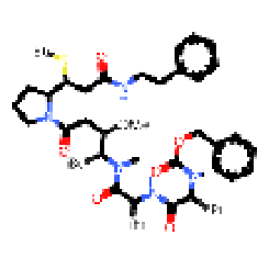 CCSC(CC(=O)NCCc1ccccc1)C1CCCN1C(=O)CC(OC)C(C(C)CC)N(C)C(=O)C(NC(=O)C(C(C)C)N(C)C(=O)OCc1ccccc1)C(C)C